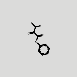 O=C(Oc1ccccc1)C(=O)C(I)I